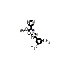 Cc1cc(-c2ncn(/C=C(\C(=O)OC(C)C)c3cncnc3)n2)cc(C(F)(F)F)c1